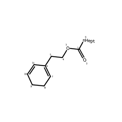 CCCCCCCC(=O)OCCC1=CCCC=C1